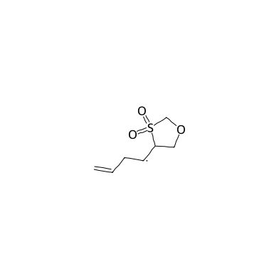 C=CC[CH]C1COCS1(=O)=O